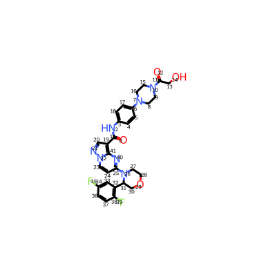 O=C(Nc1ccc(N2CCN(C(=O)CO)CC2)cc1)c1cnn2ccc(N3CCOCC3c3cc(F)ccc3F)nc12